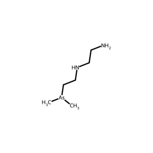 C[As](C)CCNCCN